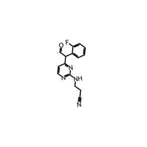 N#CCCNc1nccc(C([C]=O)c2ccccc2F)n1